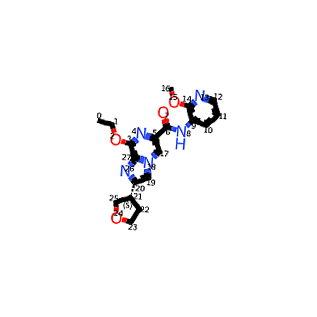 CCOc1nc(C(=O)Nc2cccnc2OC)cn2cc([C@@H]3CCOC3)nc12